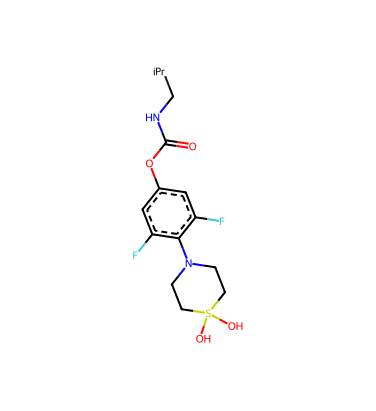 CC(C)CNC(=O)Oc1cc(F)c(N2CCS(O)(O)CC2)c(F)c1